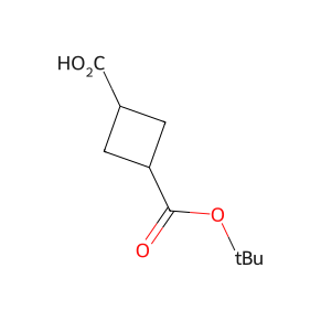 CC(C)(C)OC(=O)C1CC(C(=O)O)C1